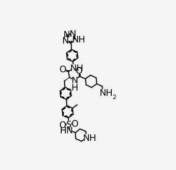 Cc1cc(S(=O)(=O)NC2CCNCC2)ccc1-c1ccc(C[C@H](NC(=O)C2CCC(CN)CC2)C(=O)Nc2ccc(-c3nnn[nH]3)cc2)cc1